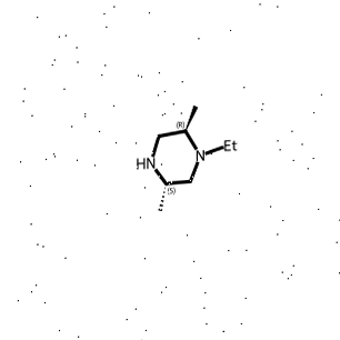 CCN1C[C@H](C)NC[C@H]1C